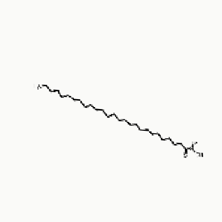 CCCCCCCCCCCCCCCCCCCCCCCCCCC(=O)N(O)Br